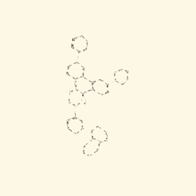 c1ccc(-c2ccc3c(c2)c2cc(-c4ccccc4)ccc2c2nc(-c4cccc(-c5cccc6ccccc56)c4)cnc32)cc1